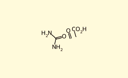 C=O.CC(=O)O.NC(N)=O